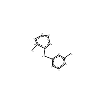 Cc1cccc(Cc2ccccc2C)c1